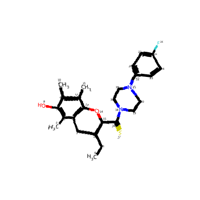 CCC1Cc2c(C)c(O)c(C)c(C)c2OC1C(=S)N1CCN(c2ccc(F)cc2)CC1